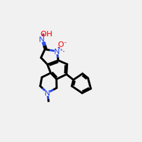 CN1CCc2c(c(-c3ccccc3)cc3c2CC(=NO)[N+]3[O-])C1